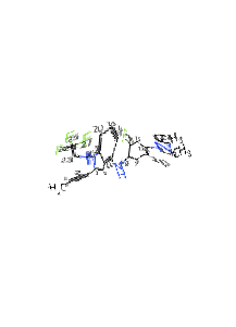 [CH2]C#Cc1cc2c(NC3CCC(N(C)C)CC3F)cccc2n1CC(F)(F)F